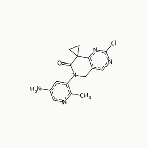 Cc1ncc(N)cc1N1Cc2cnc(Cl)nc2C2(CC2)C1=O